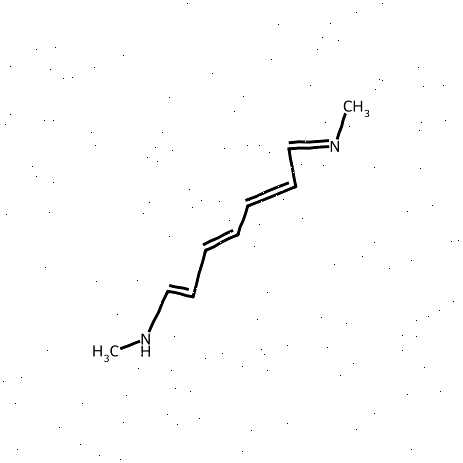 C/N=C/C=C/C=C/C=C/NC